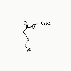 CC(=O)COCC(=O)OCOC(C)=O